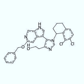 OCCc1ncn(C2CCCc3ccc(Cl)c(Cl)c32)c1-c1c[nH]c2cnc(OCc3ccccc3)cc12